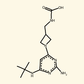 CC(C)(C)Nc1cc(N2CC(CNC(=O)O)C2)nc(N)n1